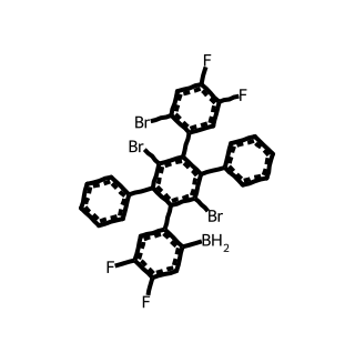 Bc1cc(F)c(F)cc1-c1c(Br)c(-c2ccccc2)c(-c2cc(F)c(F)cc2Br)c(Br)c1-c1ccccc1